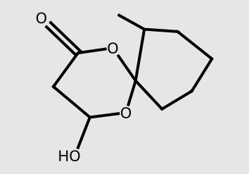 CC1CCCCC12OC(=O)CC(O)O2